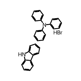 Br.c1ccc(N(c2ccccc2)c2ccccc2)cc1.c1ccc2c(c1)[nH]c1ccccc12